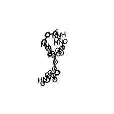 CS(=O)(=O)n1ccc(C(=O)NCC(=O)Nc2nc(-c3cccc(-c4ccnc(N5CCN(C(=O)CCOCCOCCOc6cccc7c6C(=O)N(C6CCC(=O)NC6=O)C7=O)CC5)c4)c3)cs2)c1